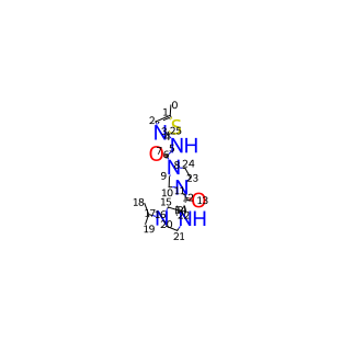 Cc1cnc(NC(=O)N2CCN(C(=O)[C@H]3CN(C(C)C)CCN3)CC2)s1